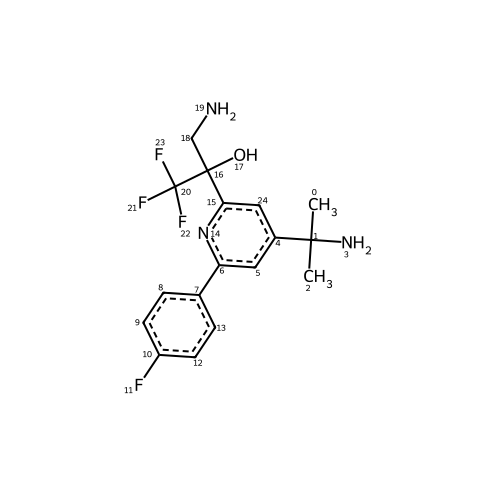 CC(C)(N)c1cc(-c2ccc(F)cc2)nc(C(O)(CN)C(F)(F)F)c1